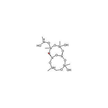 C[SiH](O)O[Si]1(C)O[Si](C)(O)O[Si]2(C)O[Si](C)(O)OC[SiH](C)O[Si](C)(O1)O2